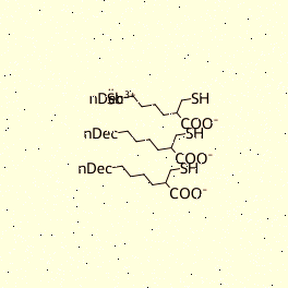 CCCCCCCCCCCCCCC(CS)C(=O)[O-].CCCCCCCCCCCCCCC(CS)C(=O)[O-].CCCCCCCCCCCCCCC(CS)C(=O)[O-].[Sb+3]